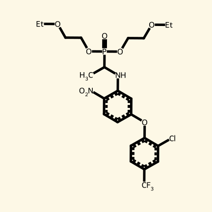 CCOCCOP(=O)(OCCOCC)C(C)Nc1cc(Oc2ccc(C(F)(F)F)cc2Cl)ccc1[N+](=O)[O-]